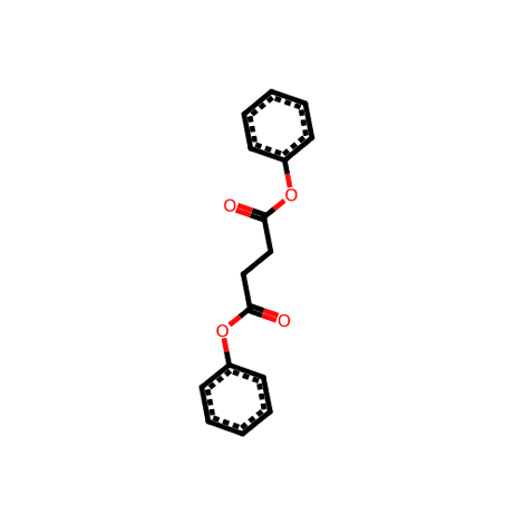 O=C(CCC(=O)Oc1ccccc1)Oc1ccccc1